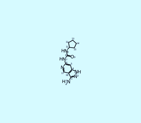 Nc1n[nH]c2cc(NC(=O)NC3CCCC3)ncc12